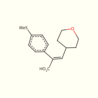 CSc1ccc(/C(=C\C2CCOCC2)C(=O)O)cc1